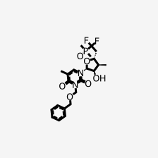 Cc1cn([C@@H]2O[C@H](CC(F)(F)P(C)(C)=O)[C@@H](C)[C@H]2O)c(=O)n(COCc2ccccc2)c1=O